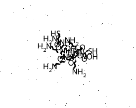 NCCCC[C@H](NC(=O)[C@H](CCCCN)NC(=O)[C@H](CCCCN)NC(=O)[C@H](CCCCN)NC(=O)[C@H](CO)NC(=O)[C@@H](N)CS)C(=O)N[C@@H](CS)C(=O)O